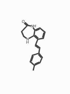 Cc1ccc(/C=C/c2cccc3c2NCCC(=O)N3)cc1